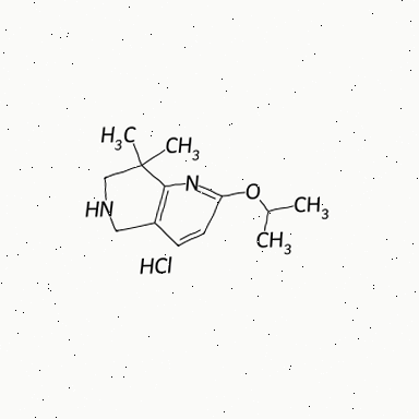 CC(C)Oc1ccc2c(n1)C(C)(C)CNC2.Cl